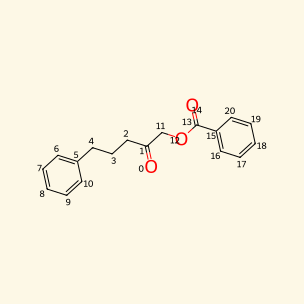 O=C(CCCc1ccccc1)COC(=O)c1ccccc1